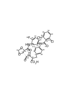 O=C(Nc1ccc(C[C@H](NC(=O)[C@@H]2OCO[C@H]2C(=O)Nc2ccccc2F)C(=O)O)cc1)c1c(Cl)cccc1Cl